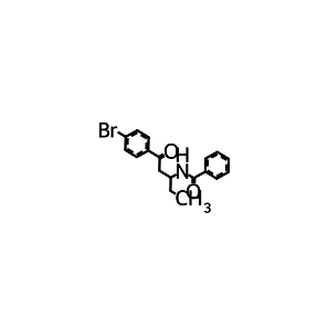 CCC(CC(=O)c1ccc(Br)cc1)NC(=O)c1ccccc1